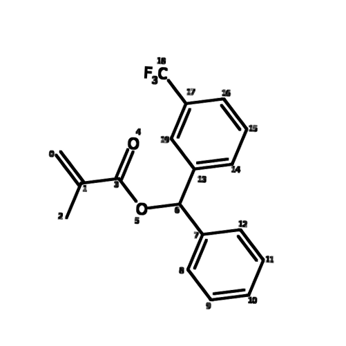 C=C(C)C(=O)OC(c1ccccc1)c1cccc(C(F)(F)F)c1